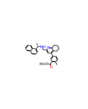 COC(=O)c1cc(-c2cc(CN[C@H](C)c3cccc4ccccc34)nc3c2CCCC3)ccc1C